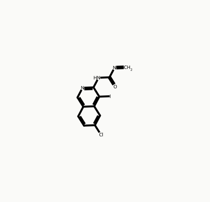 C=NC(=O)Nc1ncc2ccc(Cl)cc2c1I